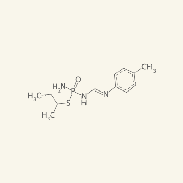 CCC(C)SP(N)(=O)NC=Nc1ccc(C)cc1